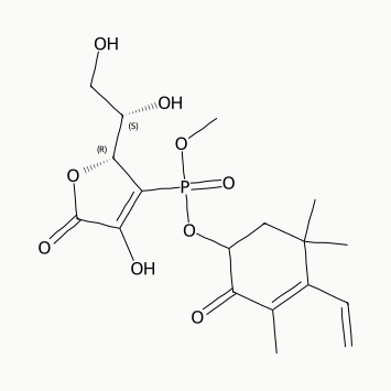 C=CC1=C(C)C(=O)C(OP(=O)(OC)C2=C(O)C(=O)O[C@@H]2[C@@H](O)CO)CC1(C)C